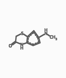 CNc1ccc2c(c1)SCC(=O)N2